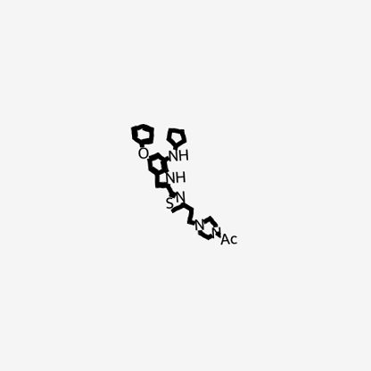 CC(=O)N1CCN(CCC2CSC(c3cc4cc(Oc5ccccc5)cc(NC5CCCC5)c4[nH]3)=N2)CC1